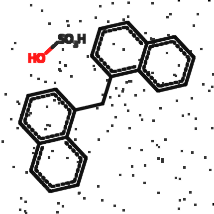 O=S(=O)(O)O.c1ccc2c(Cc3cccc4ccccc34)cccc2c1